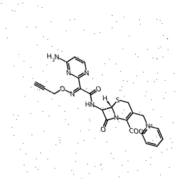 C#CCON=C(C(=O)NC1C(=O)N2C(C(=O)[O-])=C(C[n+]3ccccc3)CS[C@@H]12)c1nccc(N)n1